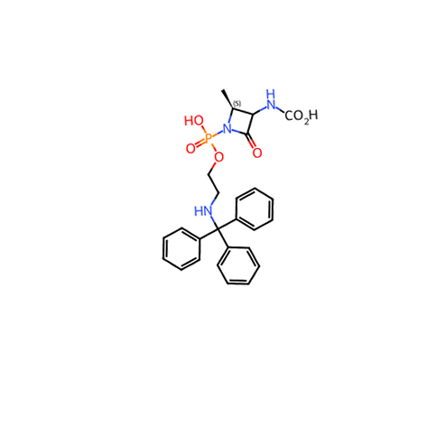 C[C@H]1C(NC(=O)O)C(=O)N1P(=O)(O)OCCNC(c1ccccc1)(c1ccccc1)c1ccccc1